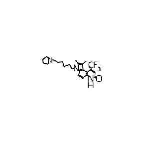 Cc1c(C)n(CCCCCCN2CCCC2)c2ccc3[nH]c(=O)cc(C(F)(F)F)c3c12